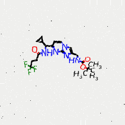 CC(C)(C)OC(=O)NCc1cn2ccc(C(NC(=O)CCC(F)(F)F)C3CC3)nc2n1